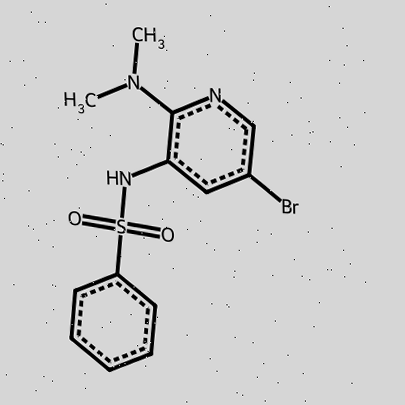 CN(C)c1ncc(Br)cc1NS(=O)(=O)c1ccccc1